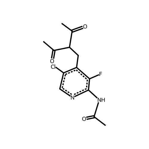 CC(=O)Nc1ncc(Cl)c(CC(C(C)=O)C(C)=O)c1F